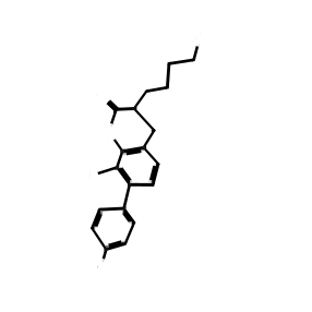 CCCCCC1Cc2ccc(-c3ccc(C)cc3)c(F)c2OC1=O